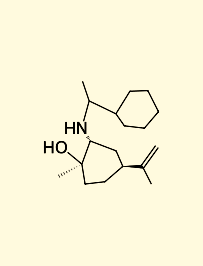 C=C(C)[C@H]1CC[C@@](C)(O)[C@H](NC(C)C2CCCCC2)C1